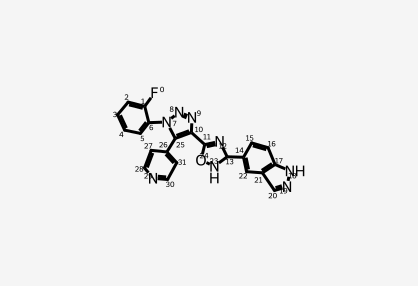 Fc1ccccc1-n1nnc(C2=NC(c3ccc4[nH]ncc4c3)NO2)c1-c1ccncc1